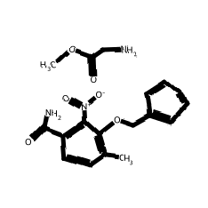 COC(=O)CN.Cc1ccc(C(N)=O)c([N+](=O)[O-])c1OCc1ccccc1